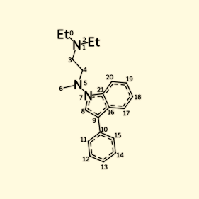 CCN(CC)CCN(C)n1cc(-c2ccccc2)c2ccccc21